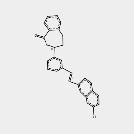 O=C1S[C@@H](c2cccc(/C=C/c3ccc4ccc(Cl)cc4n3)c2)CCc2ccccc21